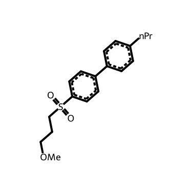 CCCc1ccc(-c2ccc(S(=O)(=O)CCCOC)cc2)cc1